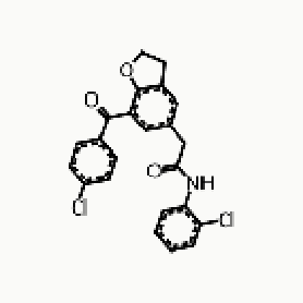 O=C(Cc1cc2c(c(C(=O)c3ccc(Cl)cc3)c1)OCC2)Nc1ccccc1Cl